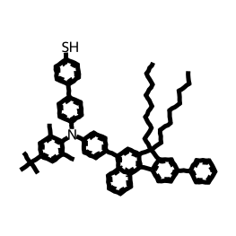 CCCCCCCCC1(CCCCCCCC)c2cc(-c3ccccc3)ccc2-c2c1cc(-c1ccc(N(c3ccc(-c4ccc(S)cc4)cc3)c3c(C)cc(C(C)(C)C)cc3C)cc1)c1ccccc21